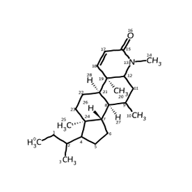 CCC(C)C1CC[C@H]2[C@@H]3C(C)CC4N(C)C(=O)C=C[C@]4(C)[C@@H]3CC[C@]12C